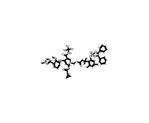 [2H]C([2H])([2H])NC(=O)c1cn(COC(=O)CC(C)(C)c2c(C)cc(C)cc2OP(=O)(OCc2ccccc2)OCc2ccccc2)c(=NC(=O)C2CC2)cc1Nc1cccc(-c2nnn(C)n2)c1OC